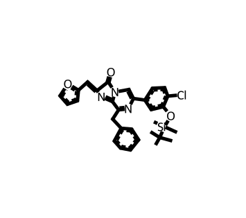 CC(C)(C)[Si](C)(C)Oc1cc(C2=CN3C(=O)/C(=C/c4ccco4)N=C3C(Cc3ccccc3)=N2)ccc1Cl